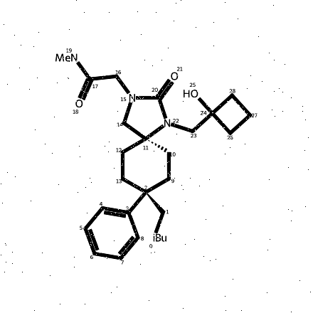 CCC(C)C[C@]1(c2ccccc2)CC[C@]2(CC1)CN(CC(=O)NC)C(=O)N2CC1(O)CCC1